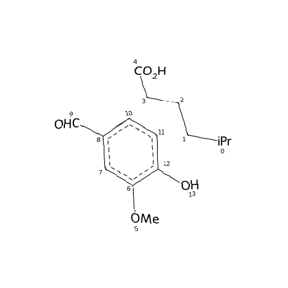 CC(C)CCCC(=O)O.COc1cc(C=O)ccc1O